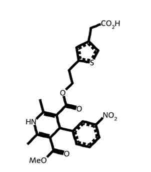 COC(=O)C1=C(C)NC(C)=C(C(=O)OCCc2cc(CC(=O)O)cs2)C1c1cccc([N+](=O)[O-])c1